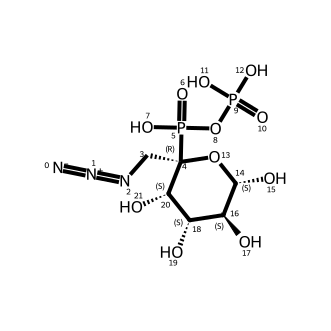 [N-]=[N+]=NC[C@]1(P(=O)(O)OP(=O)(O)O)O[C@H](O)[C@@H](O)[C@H](O)[C@@H]1O